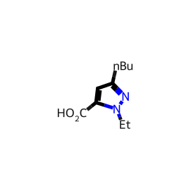 CCCCc1cc(C(=O)O)n(CC)n1